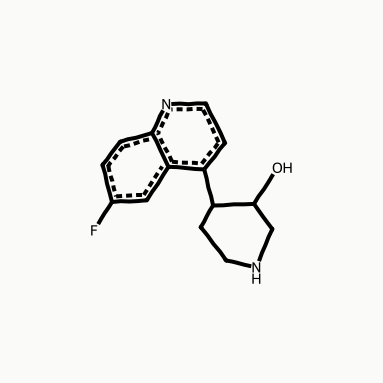 OC1CNCCC1c1ccnc2ccc(F)cc12